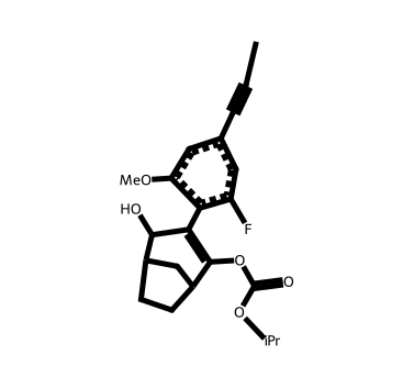 CC#Cc1cc(F)c(C2=C(OC(=O)OC(C)C)C3CCC(C3)C2O)c(OC)c1